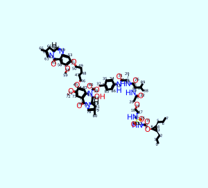 CCC[C@@H]1[C@H](CCC)[C@@H]1OC(=O)NS(=O)(=O)NCCOCC(=O)N[C@H](C(=O)N[C@@H](C)C(=O)Nc1ccc(COC(=O)N2c3cc(OCCCCCOc4cc5c(cc4OC)C(=O)N4C=C(C)C[C@H]4C=N5)c(OC)cc3C(=O)N3C=C(C)C[C@H]3[C@@H]2O)cc1)C(C)C